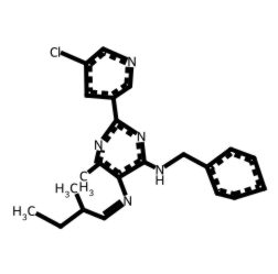 CCC(C)/C=N\c1c(C)nc(-c2cncc(Cl)c2)nc1NCc1ccccc1